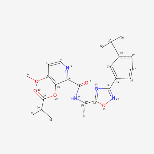 COc1ccnc(C(=O)N[C@@H](C)c2nc(-c3cccc(C(C)C)c3)no2)c1OC(=O)C(C)C